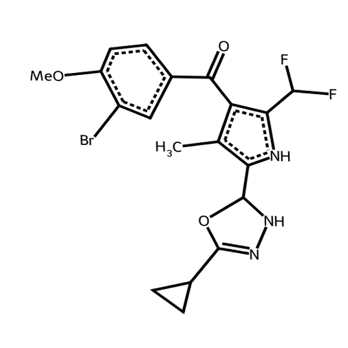 COc1ccc(C(=O)c2c(C(F)F)[nH]c(C3NN=C(C4CC4)O3)c2C)cc1Br